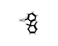 CC1=CC=CCC1(C)c1ccccc1O